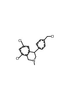 CN1Cc2c(Cl)cc(Cl)cc2C(c2ccc(CCl)cc2)C1